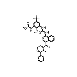 COC(=O)Nc1cc(C(C)(C)C)cc(NC(=O)Nc2ccc(C(=O)N3CCOC(c4ccccc4)C3C)c3ccccc23)c1OC